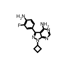 Nc1ccc(-c2nn(C3CCC3)c3ncnc(N)c23)cc1F